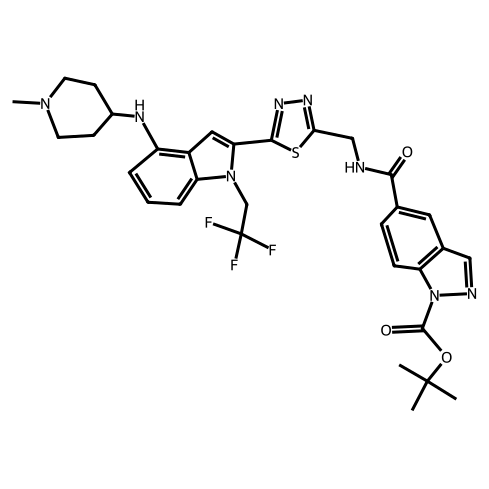 CN1CCC(Nc2cccc3c2cc(-c2nnc(CNC(=O)c4ccc5c(cnn5C(=O)OC(C)(C)C)c4)s2)n3CC(F)(F)F)CC1